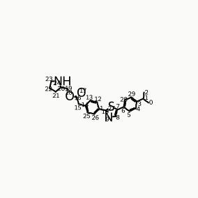 CC(C)c1ccc(-c2cnc(-c3ccc(CC(=O)OCC4CCCN4)cc3)s2)cc1